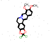 COc1ccc2cc3[n+](cc2c1OC)CCc1cc2c(cc1-3)OC(Cl)(Cl)O2